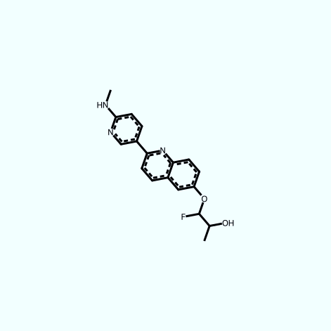 CNc1ccc(-c2ccc3cc(OC(F)C(C)O)ccc3n2)cn1